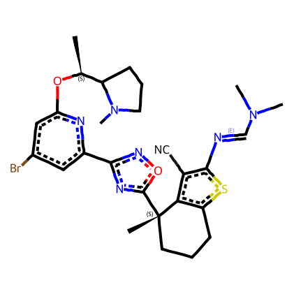 C[C@H](Oc1cc(Br)cc(-c2noc([C@@]3(C)CCCc4sc(/N=C/N(C)C)c(C#N)c43)n2)n1)C1CCCN1C